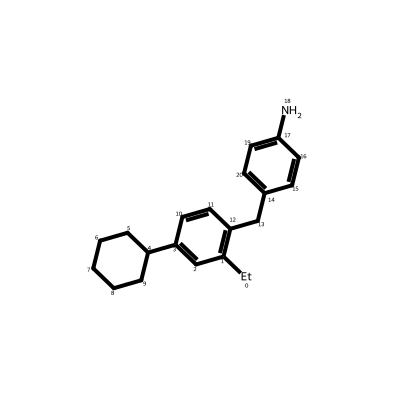 CCc1cc(C2CCCCC2)ccc1Cc1ccc(N)cc1